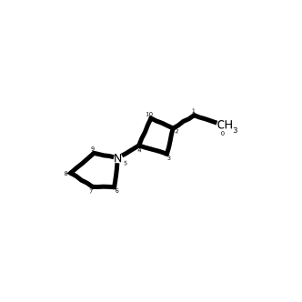 CCC1CC(N2CCCC2)C1